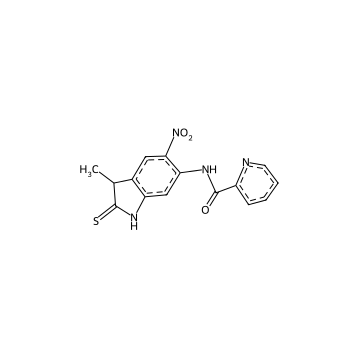 CC1C(=S)Nc2cc(NC(=O)c3ccccn3)c([N+](=O)[O-])cc21